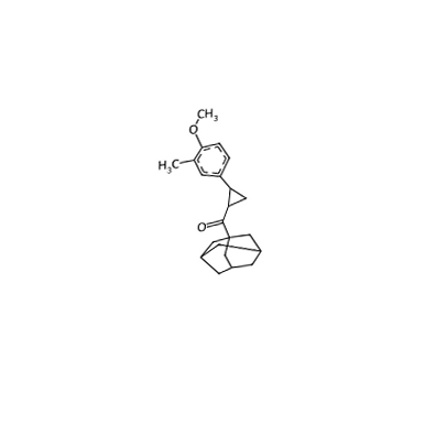 COc1ccc(C2CC2C(=O)C23CC4CC(CC(C4)C2)C3)cc1C